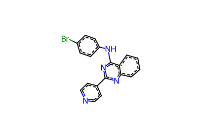 Brc1ccc(Nc2nc(-c3ccncc3)nc3ccccc23)cc1